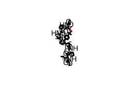 CC[C@H](C)[C@H](NC(=O)OC)C(=O)N1CCC[C@H]1C(=O)Nc1nc([C@H]2CC[C@H](c3csc(NC(=O)[C@@H]4CCCN4C(=O)[C@@H](NC(=O)OC)[C@@H](C)CC)n3)N2c2ccc(C(C)(C)C)cc2)cs1